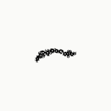 C[C@H]1CN([C@H]2CCCN(c3ccc4c(c3)C(=O)N(C3CCC(=O)NC3=O)C4=O)CC2)CCN1c1ccc(Nc2cc(-c3ccnc(N4CCn5c(cc6c5CC(C)(C)C6)C4=O)c3CO)cn(C)c2=O)nc1